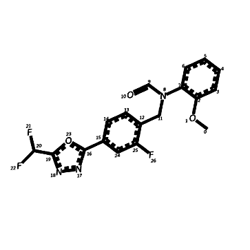 COc1ccccc1N(C=O)Cc1ccc(-c2nnc(C(F)F)o2)cc1F